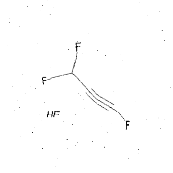 F.FC#CC(F)F